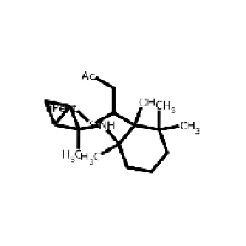 CCCCCSC(CC(C)=O)C1(O)C(C)(C)CCCC1(C)NC1(C)C2CC21